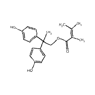 CC(C)=C(C)C(=O)OCC(C)(c1ccc(O)cc1)c1ccc(O)cc1